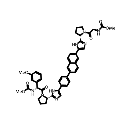 COC(=O)NCC(=O)N1CCC[C@H]1c1ncc(-c2ccc3cc(-c4ccc(-c5cnc([C@@H]6CCCN6C(=O)[C@H](NC(=O)OC)c6cccc(OC)c6)[nH]5)cc4)ccc3c2)[nH]1